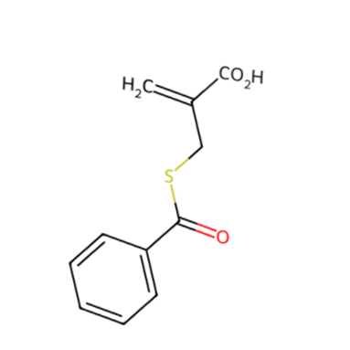 C=C(CSC(=O)c1ccccc1)C(=O)O